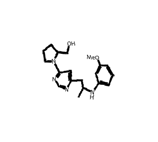 COc1cccc(NC(C)Cc2cc(N3CCCC3CO)ncn2)c1